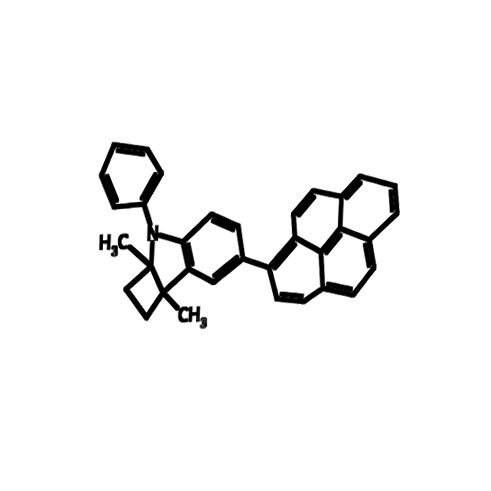 CC12CCC1(C)N(c1ccccc1)c1ccc(-c3ccc4ccc5cccc6ccc3c4c56)cc12